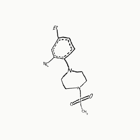 CCc1ccc(N2CCN(S(C)(=O)=O)CC2)c(C#N)c1